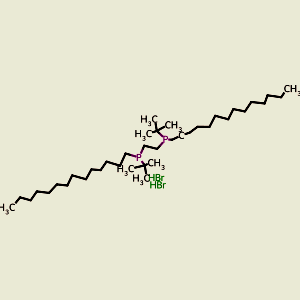 Br.Br.CCCCCCCCCCCCCCP(CCP(CCCCCCCCCCCCCC)C(C)(C)C)C(C)(C)C